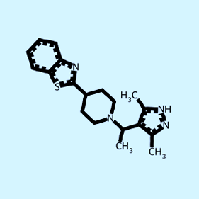 Cc1n[nH]c(C)c1C(C)N1CCC(c2nc3ccccc3s2)CC1